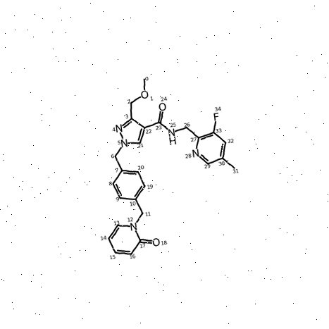 COCc1nn(Cc2ccc(Cn3ccccc3=O)cc2)cc1C(=O)NCc1ncc(C)cc1F